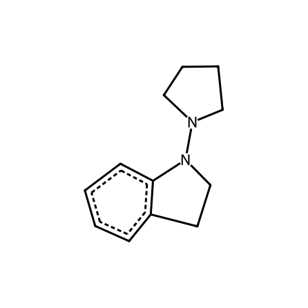 c1ccc2c(c1)CCN2N1CCCC1